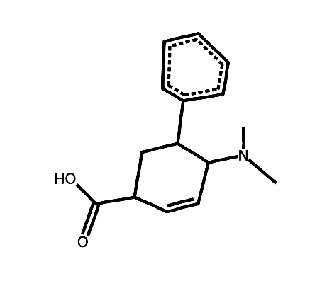 CN(C)C1C=CC(C(=O)O)CC1c1ccccc1